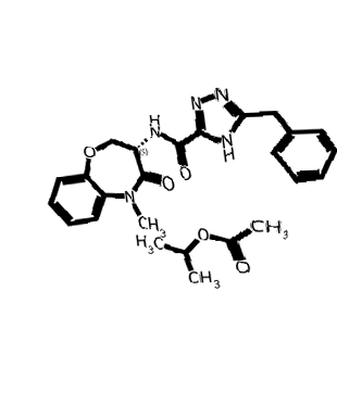 CC(=O)OC(C)C.CN1C(=O)[C@@H](NC(=O)c2nnc(Cc3ccccc3)[nH]2)COc2ccccc21